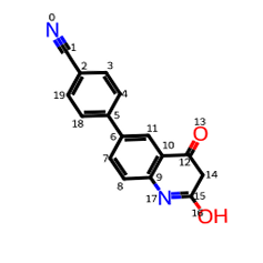 N#Cc1ccc(-c2ccc3c(c2)C(=O)CC(O)=N3)cc1